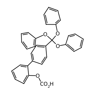 O=C(O)Oc1ccccc1-c1ccc(C(Oc2ccccc2)(Oc2ccccc2)Oc2ccccc2)cc1